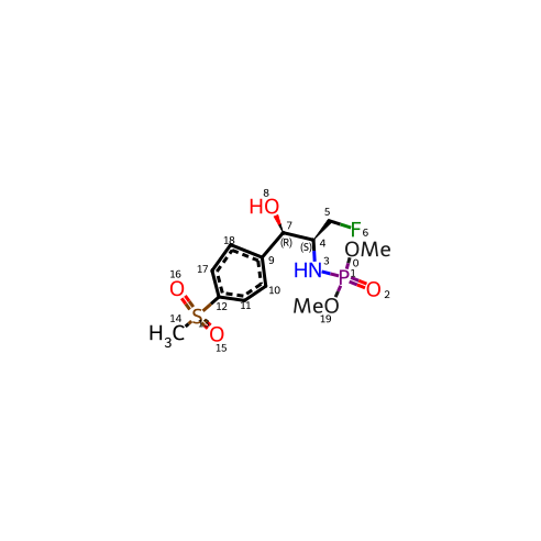 COP(=O)(N[C@H](CF)[C@H](O)c1ccc(S(C)(=O)=O)cc1)OC